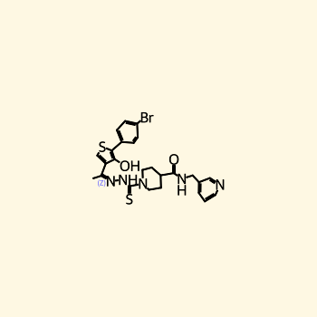 C/C(=N/NC(=S)N1CCC(C(=O)NCc2cccnc2)CC1)c1csc(-c2ccc(Br)cc2)c1O